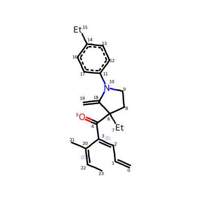 C=C/C=C(C(=O)C1(CC)CCN(c2ccc(CC)cc2)C1=C)\C(C)=C/C